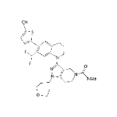 CNC(=O)N1CCc2c(c(N3CCCc4cc(-c5ccc(C#N)s5)c(C(F)F)cc43)nn2C2CCOCC2)C1